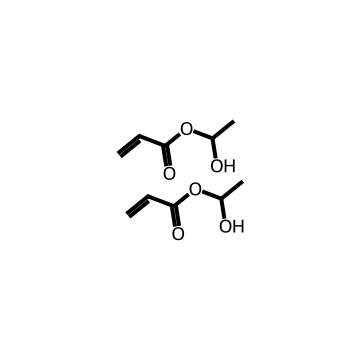 C=CC(=O)OC(C)O.C=CC(=O)OC(C)O